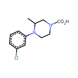 CC1CN(C(=O)O)CCN1c1cccc(Cl)c1